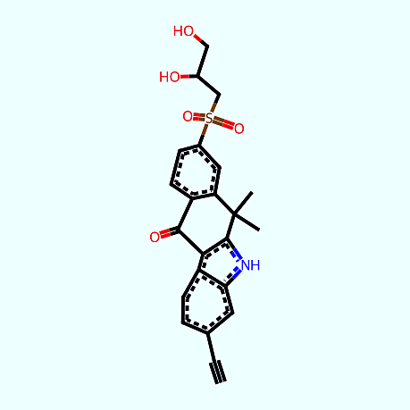 C#Cc1ccc2c3c([nH]c2c1)C(C)(C)c1cc(S(=O)(=O)CC(O)CO)ccc1C3=O